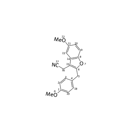 COc1ccc(Cc2oc3ccc(OC)cc3c2CC#N)cc1